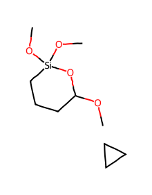 C1CC1.COC1CCC[Si](OC)(OC)O1